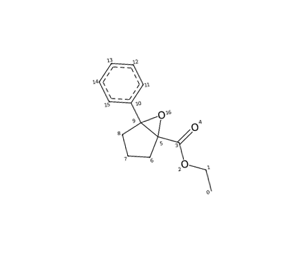 CCOC(=O)C12CCCC1(c1ccccc1)O2